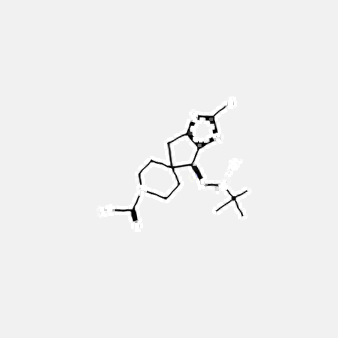 CC(C)(C)[S@@+]([O-])/N=C1\c2nc(Cl)sc2CC12CCN(C(=O)O)CC2